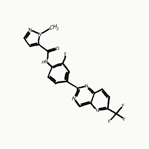 Cn1nccc1C(=O)Nc1ccc(-c2ncc3nc(C(F)(F)F)ccc3n2)cc1F